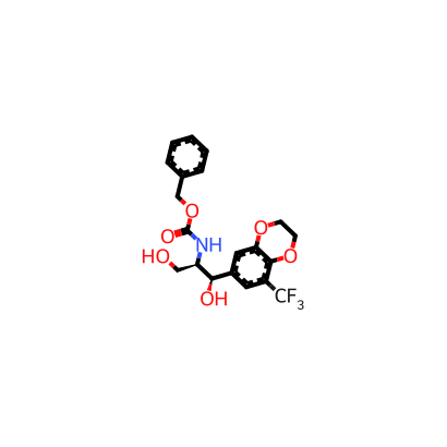 O=C(N[C@H](CO)[C@H](O)c1cc2c(c(C(F)(F)F)c1)OCCO2)OCc1ccccc1